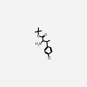 [CH2]C(c1ccc(Cl)cc1)C(N)C(=O)OC(C)(C)C